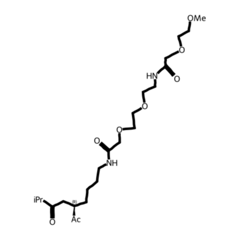 COCCOCC(=O)NCCOCCOCC(=O)NCCCC[C@H](CC(=O)C(C)C)C(C)=O